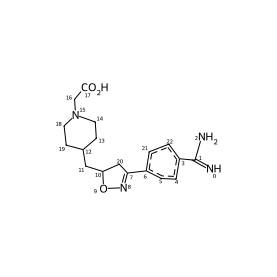 N=C(N)c1ccc(C2=NOC(CC3CCN(CC(=O)O)CC3)C2)cc1